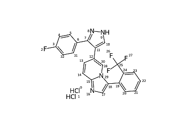 Cl.Cl.Fc1ccc(-c2n[nH]cc2-c2ccc3ncc(-c4ccccc4C(F)(F)F)n3c2)cc1